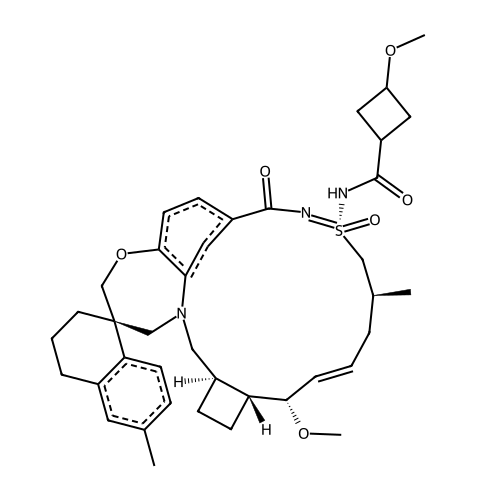 COC1CC(C(=O)N[S@@]2(=O)=NC(=O)c3ccc4c(c3)N(C[C@@H]3CC[C@H]3[C@@H](OC)/C=C/C[C@H](C)C2)C[C@@]2(CCCc3cc(C)ccc32)CO4)C1